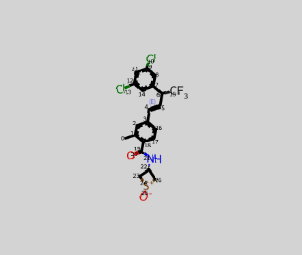 Cc1cc(/C=C/C(c2cc(Cl)cc(Cl)c2)C(F)(F)F)ccc1C(=O)N[C@H]1C[S@@+]([O-])C1